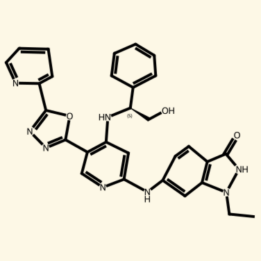 CCn1[nH]c(=O)c2ccc(Nc3cc(N[C@H](CO)c4ccccc4)c(-c4nnc(-c5ccccn5)o4)cn3)cc21